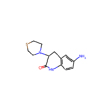 Nc1ccc2c(c1)CC(N1CCSCC1)C(=O)N2